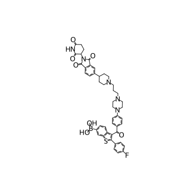 O=C1CCC(N2C(=O)c3ccc(C4CCN(CCCN5CCN(c6ccc(C(=O)c7c(-c8ccc(F)cc8)sc8cc(B(O)O)ccc78)cc6)CC5)CC4)cc3C2=O)C(=O)N1